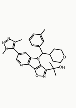 Cc1cccc(C(C2CCOCC2)n2c3cc(-c4c(C)nnn4C)cnc3c3onc(C(C)(C)O)c32)c1